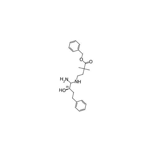 CC(C)(CCNC(N)[C@H](O)CCc1ccccc1)C(=O)OCc1ccccc1